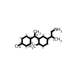 CC(CN)C1CCC(C)C(C(C)C2CCC(Cl)CC2)C1